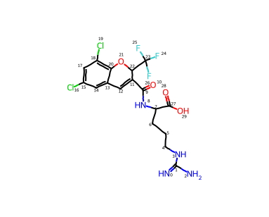 N=C(N)NCCCC(NC(=O)C1=Cc2cc(Cl)cc(Cl)c2OC1C(F)(F)F)C(=O)O